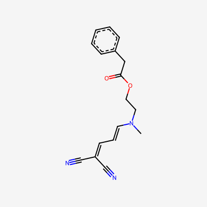 CN(/C=C/C=C(C#N)C#N)CCOC(=O)Cc1ccccc1